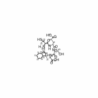 C[C@@H](O)[C@H](NC(=O)[C@H](CCC(=O)O)NC(=O)[C@@H](N)C(C)(C)S)C(=O)N[C@@H](Cc1c[nH]c2ccccc12)C(=O)O